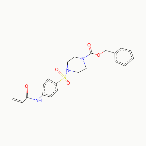 C=CC(=O)Nc1ccc(S(=O)(=O)N2CCN(C(=O)OCc3ccccc3)CC2)cc1